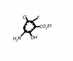 CCOC(=O)c1c(O)c(N)cc(Cl)c1F